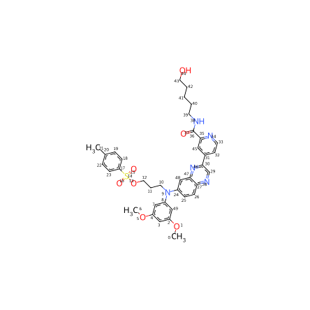 COc1cc(OC)cc(N(CCCOS(=O)(=O)c2ccc(C)cc2)c2ccc3ncc(-c4ccnc(C(=O)NCCCCCO)c4)nc3c2)c1